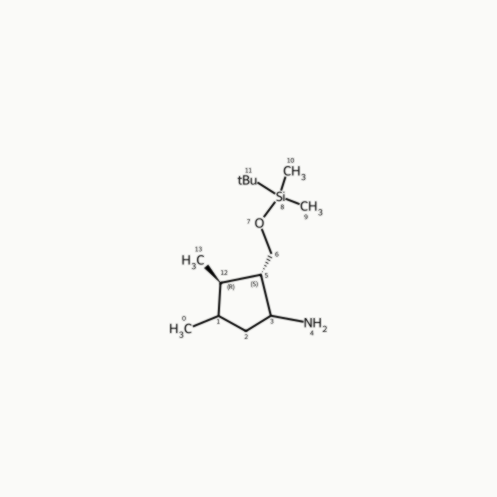 CC1CC(N)[C@@H](CO[Si](C)(C)C(C)(C)C)[C@@H]1C